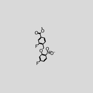 COC(=O)c1ccc(COc2cc(F)ccc2[N+](=O)[O-])c(F)c1